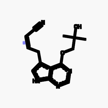 CC(C)(O)COc1ncnc2[nH]cc(C/C=C\C#N)c12